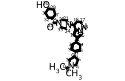 CC(C)N1CC[C@H](C2=CCC(c3cc4n(c3)N=CCC4N3CCN(C(=O)[C@H]4CC[C@H](O)CC4)CC3)C=C2)C1